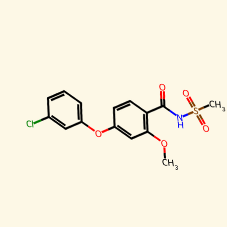 COc1cc(Oc2cccc(Cl)c2)ccc1C(=O)NS(C)(=O)=O